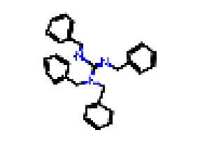 c1ccc(C[N]C(=NCc2ccccc2)N(Cc2ccccc2)Cc2ccccc2)cc1